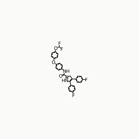 O=C(Nc1ccc(Oc2ccc(OC(F)F)cc2)cc1)N1CC(c2ccc(F)cc2)=C(c2ccc(F)cc2)N1